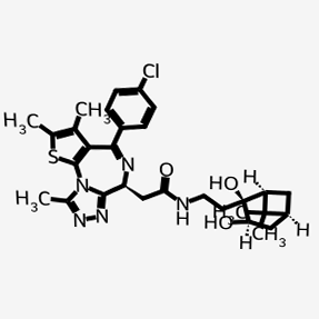 Cc1sc2c(c1C)C(c1ccc(Cl)cc1)=N[C@@H](CC(=O)NCC[C@@]1(O)[C@H](O)C[C@@H]3C[C@H]1C3(C)C)c1nnc(C)n1-2